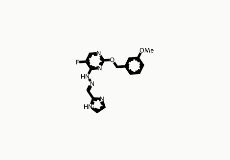 COc1cccc(COc2ncc(F)c(N/N=C/c3ncc[nH]3)n2)c1